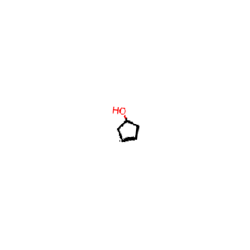 O[C@@H]1C[C]=CC1